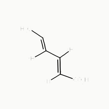 [2H]C(=C\C)/C([2H])=C(\[2H])C(=O)O